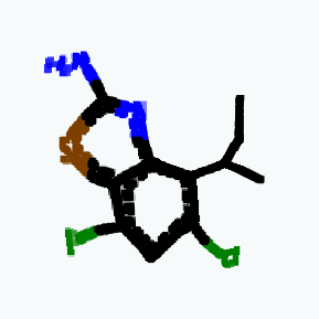 CC(C)c1c(Cl)cc(F)c2sc(N)nc12